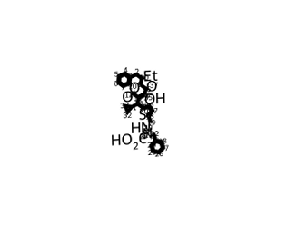 CCC(Cc1ccccc1)C1OC(=O)C(C(c2ccc(CNN(Cc3ccccc3)C(=O)O)s2)C2CC2)=C(O)C1=O